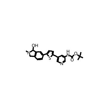 CN1Cc2ccc(-c3ccc(-c4cncc(NC(=O)OC(C)(C)C)c4)s3)cc2C1O